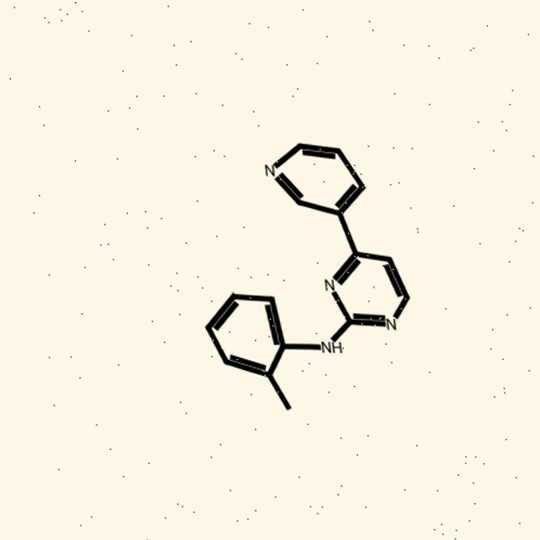 Cc1cc[c]cc1Nc1nccc(-c2cccnc2)n1